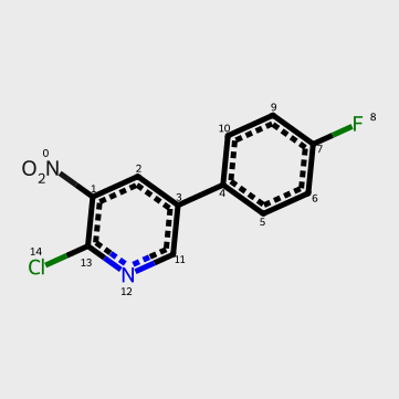 O=[N+]([O-])c1cc(-c2ccc(F)cc2)cnc1Cl